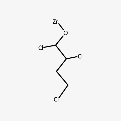 ClCCC(Cl)C(Cl)[O][Zr]